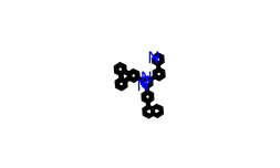 C1=CC2C=CC=C(c3ccc(-c4cc(-c5cccc(-c6cccnc6)c5)nc(-c5ccc6c7ccccc7c7ccccc7c6c5)n4)cc3)C2C=C1